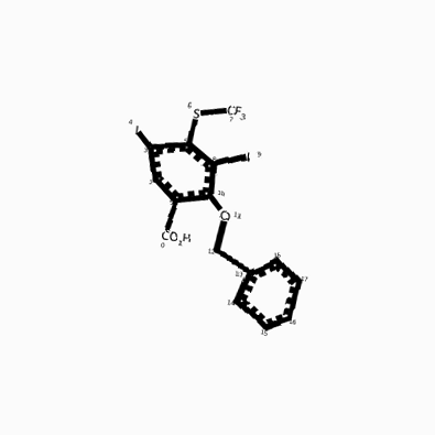 O=C(O)c1cc(I)c(SC(F)(F)F)c(I)c1OCc1ccccc1